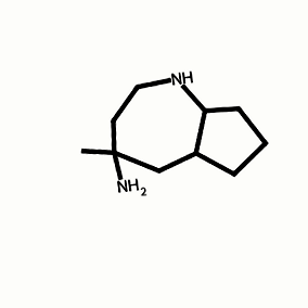 CC1(N)CCNC2CCCC2C1